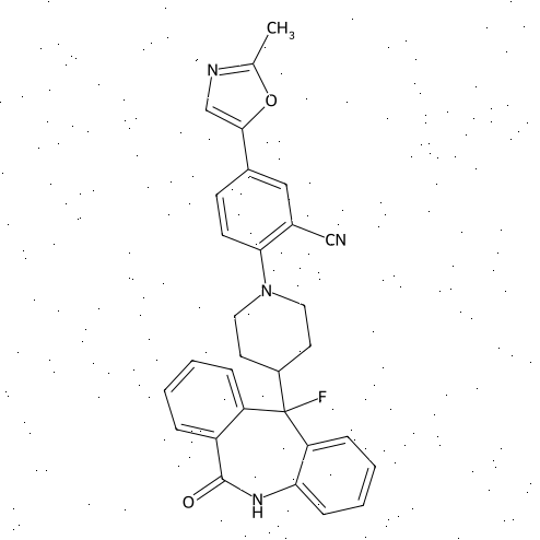 Cc1ncc(-c2ccc(N3CCC(C4(F)c5ccccc5NC(=O)c5ccccc54)CC3)c(C#N)c2)o1